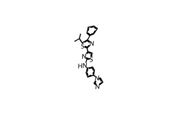 CC(C)c1sc(-c2csc(Nc3ccc(-n4ccnc4)cc3)n2)nc1-c1ccccc1